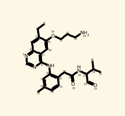 CCc1cc2ncnc(Nc3cc(C)ccc3CC(=O)NC(C=O)C(C)C)c2cc1OCCCN